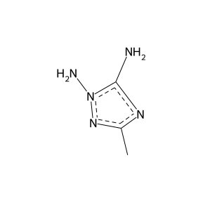 Cc1nc(N)n(N)n1